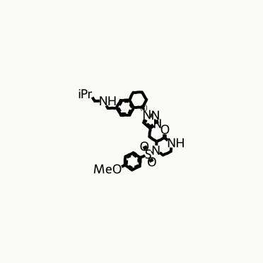 COc1ccc(S(=O)(=O)N2CCNC(=O)C2Cc2cn([C@@H]3CCCc4cc(CNCC(C)C)ccc43)nn2)cc1